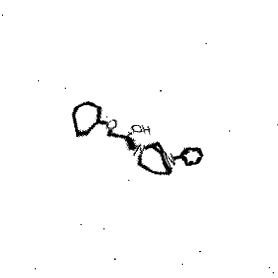 O[C@H](COC1CCCCC1)CN1CCC2CC1CN2c1ccccc1